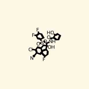 N#Cc1ccc(C(C(O)(CNC(=O)c2ccccc2O)c2ccc(F)cc2)S(=O)(=O)c2ccc(F)c(F)c2)cc1Cl